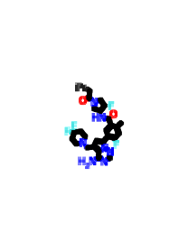 Cc1cc(F)c(-c2cc(CN3CCC(F)(F)CC3)c3c(N)ncnn23)cc1C(=O)N[C@@H]1CN(C(=O)CC(C)C)C[C@@H]1F